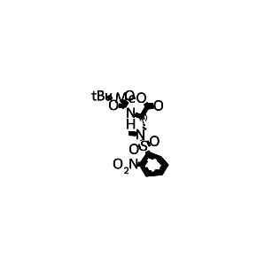 COC(=O)[C@H](CN(C)S(=O)(=O)c1ccccc1[N+](=O)[O-])NC(=O)OC(C)(C)C